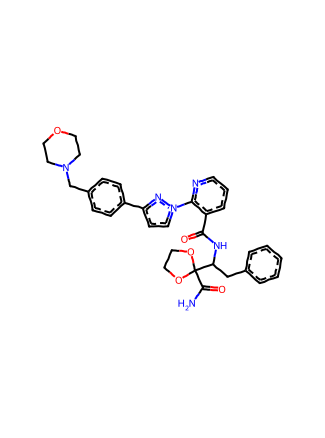 NC(=O)C1(C(Cc2ccccc2)NC(=O)c2cccnc2-n2ccc(-c3ccc(CN4CCOCC4)cc3)n2)OCCO1